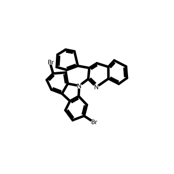 Brc1ccc2c3ccc(Br)cc3n(-c3nc4ccccc4cc3-c3ccccc3)c2c1